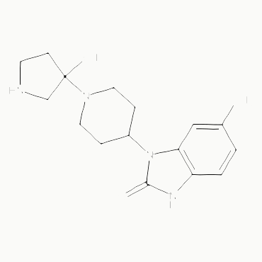 Cc1ccc2[nH]c(=O)n(C3CCN(C4(C)CCNC4)CC3)c2c1